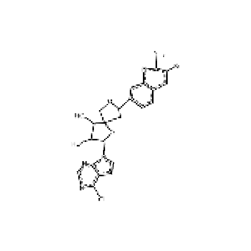 Nc1nc2cc(C3CC4(CO3)OC(n3ccc5c(Cl)ncnc53)C(O)C4O)ccc2cc1Br